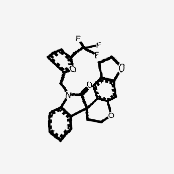 O=C1N(Cc2ccc(C(F)(F)F)o2)c2ccccc2C12CCOc1cc3c(cc12)CCO3